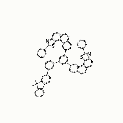 CC1(C)c2ccccc2-c2ccc(-c3cccc(-c4cc(-c5ccc6ccc7ccc8nc(-c9ccccc9)sc8c7c6c5)cc(-c5ccc6ccc7ccc8nc(-c9ccccc9)sc8c7c6c5)c4)c3)cc21